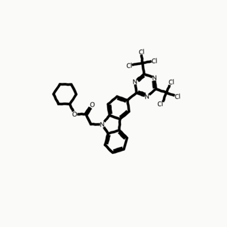 O=C(Cn1c2ccccc2c2cc(-c3nc(C(Cl)(Cl)Cl)nc(C(Cl)(Cl)Cl)n3)ccc21)OC1CCCCC1